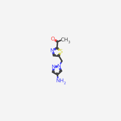 CC(=O)c1ncc(Cn2cc(N)cn2)s1